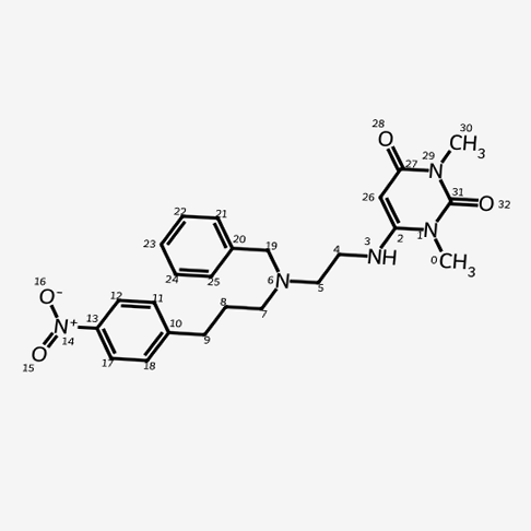 Cn1c(NCCN(CCCc2ccc([N+](=O)[O-])cc2)Cc2ccccc2)cc(=O)n(C)c1=O